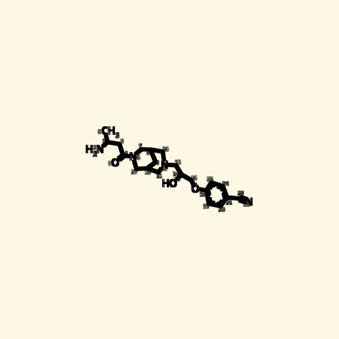 CC(N)CC(=O)N1CC2CC(CN(CC(O)COc3ccc(C#N)cc3)C2)C1